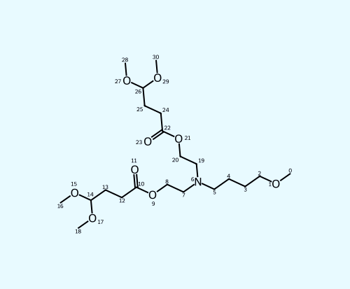 COCCCCN(CCOC(=O)CCC(OC)OC)CCOC(=O)CCC(OC)OC